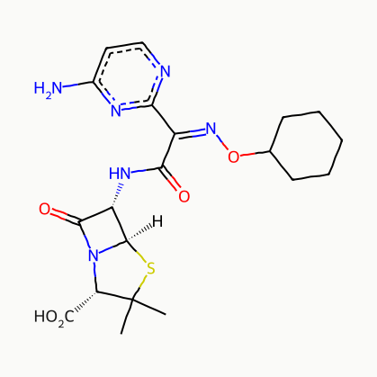 CC1(C)S[C@@H]2[C@@H](NC(=O)/C(=N\OC3CCCCC3)c3nccc(N)n3)C(=O)N2[C@H]1C(=O)O